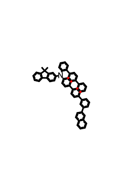 CC1(C)c2ccccc2-c2ccc(N(c3ccc(-c4ccc(-c5cccc(-c6ccc7ccccc7c6)c5)cc4)cc3)c3ccccc3-c3ccc(-c4ccccc4)cc3)cc21